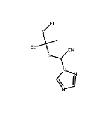 CCSC(C)(CC)SC(C#N)n1cncn1